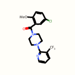 COc1ccc(Cl)cc1C(=O)N1CCN(c2ncccc2C(F)(F)F)CC1